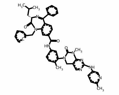 Cc1ccc(Nc2ncc3c(n2)N(C)C(=O)N(c2cc(NC(=O)c4ccc5c(c4)N(Cc4ccccc4)C(=O)[C@H](CC(C)C)N=C5c4ccccc4)ccc2C)C3)cn1